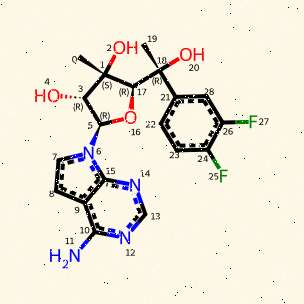 C[C@]1(O)[C@@H](O)[C@H](n2ccc3c(N)ncnc32)O[C@@H]1[C@](C)(O)c1ccc(F)c(F)c1